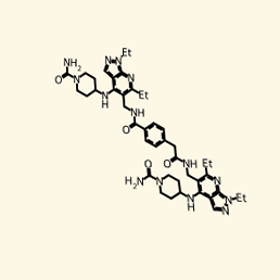 CCc1nc2c(cnn2CC)c(NC2CCN(C(N)=O)CC2)c1CNC(=O)Cc1ccc(C(=O)NCc2c(CC)nc3c(cnn3CC)c2NC2CCN(C(N)=O)CC2)cc1